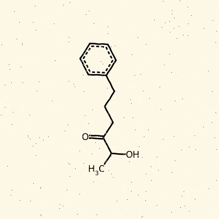 CC(O)C(=O)CCCc1ccccc1